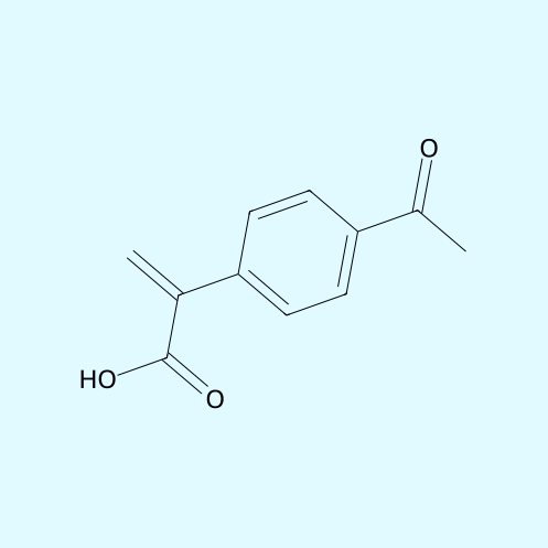 C=C(C(=O)O)c1ccc(C(C)=O)cc1